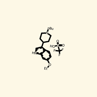 CCCCN1CCC(c2c[nH]c3cc(OCC)ccc23)CC1.O=S(=O)(O)C(F)(F)F